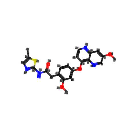 COc1cnc2c(Oc3ccc(CC(=O)Nc4ncc(C)s4)c(OC)c3)ccnc2c1